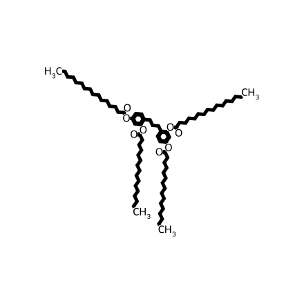 CCCCCCCCCCCCCCCC(=O)Oc1ccc(CCCc2ccc(OC(=O)CCCCCCCCCCCCCCC)cc2OC(=O)CCCCCCCCCCCCCCC)c(OC(=O)CCCCCCCCCCCCCCC)c1